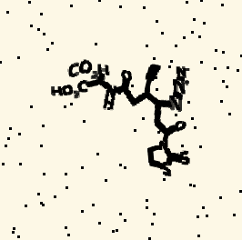 C#CC(CC(=O)NC(C(=O)O)C(=O)O)C(CC(=O)N1CCSC1=S)N=[N+]=[N-]